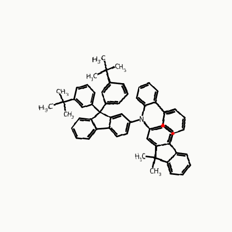 CC(C)(C)c1cccc(C2(c3cccc(C(C)(C)C)c3)c3ccccc3-c3ccc(N(c4ccc5c(c4)C(C)(C)c4ccccc4-5)c4ccccc4-c4ccccc4)cc32)c1